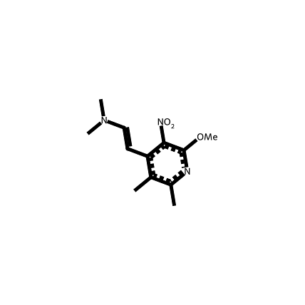 COc1nc(C)c(C)c(/C=C/N(C)C)c1[N+](=O)[O-]